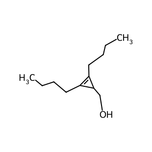 CCCCC1=C(CCCC)C1CO